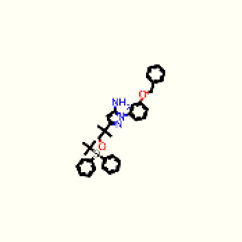 CC(C)(CO[Si](c1ccccc1)(c1ccccc1)C(C)(C)C)c1cc(N)n(-c2cccc(OCc3ccccc3)c2)n1